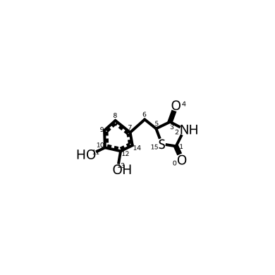 O=C1NC(=O)C(Cc2ccc(O)c(O)c2)S1